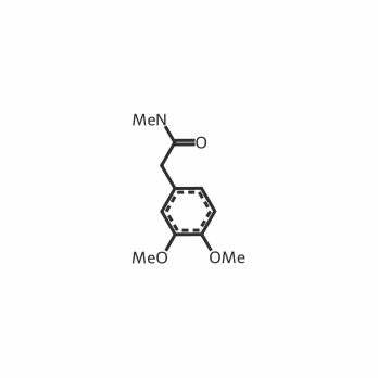 CNC(=O)Cc1ccc(OC)c(OC)c1